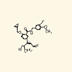 C=C(CO)/C(=C\C=N)c1ccc(OCC2CC2)c(C(=O)NCc2ccc(OC)c(F)c2)c1